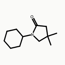 CC1(C)CC(=O)N(C2CCCCC2)C1